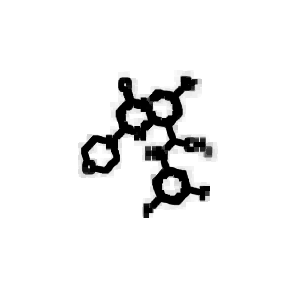 CC(Nc1cc(F)cc(F)c1)c1cc(Br)cn2c(=O)cc(N3CCOCC3)nc12